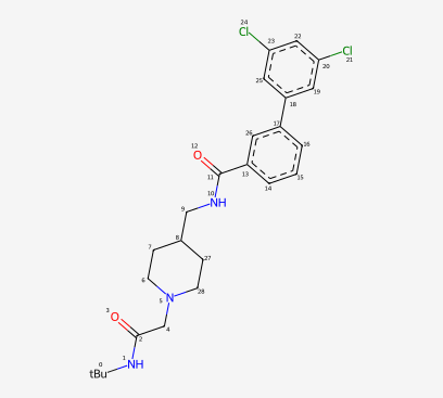 CC(C)(C)NC(=O)CN1CCC(CNC(=O)c2cccc(-c3cc(Cl)cc(Cl)c3)c2)CC1